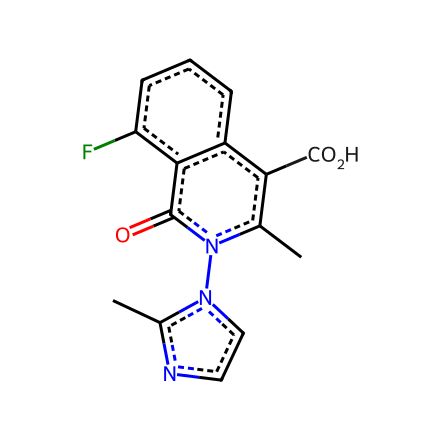 Cc1nccn1-n1c(C)c(C(=O)O)c2cccc(F)c2c1=O